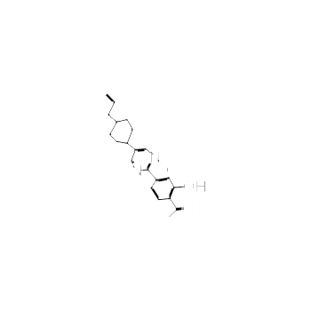 C=CCC1CCC(c2cnc(-c3ccc(C(C)=O)c(O)c3Cl)nc2)CC1